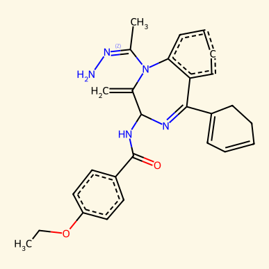 C=C1C(NC(=O)c2ccc(OCC)cc2)N=C(C2=CC=CCC2)c2ccccc2N1/C(C)=N\N